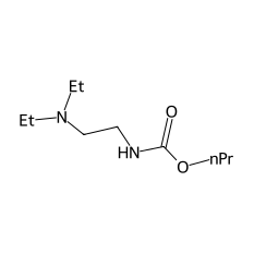 CCCOC(=O)NCCN(CC)CC